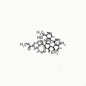 C=CC(=O)N1CCN2C(=N)c3c(Nc4c(C)ccnc4C(C)O)cc(-c4c(C)ccc(N)c4C=N)c(F)c3OCCC2C1